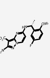 CCOC(=O)c1c(N)nn2ccc(N[C@H](C)c3cc(F)ccc3OC)nc12